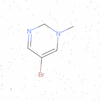 CN1C=C(Br)C=NC1